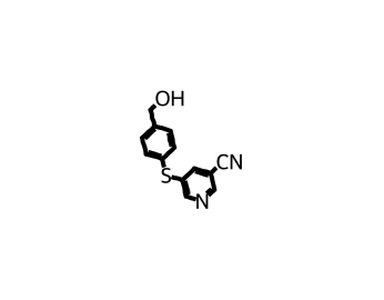 N#Cc1cncc(Sc2ccc(CO)cc2)c1